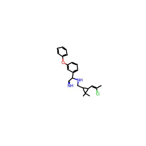 C/C(Cl)=C/C1C(CNC(C=N)c2cccc(Oc3ccccc3)c2)C1(C)C